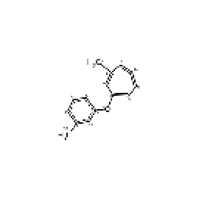 CC1=CC(Oc2cccc(C)c2)=CC=C=C1